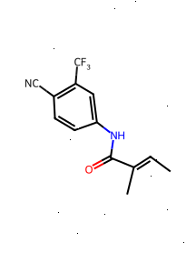 CC=C(C)C(=O)Nc1ccc(C#N)c(C(F)(F)F)c1